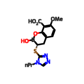 CCCn1cnnc1S[C@H]1Cc2ccc(OC)c(C(=O)O)c2OB1O